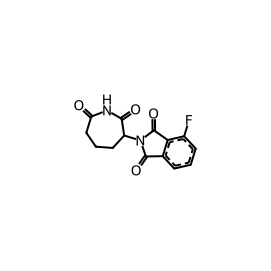 O=C1CCCC(N2C(=O)c3cccc(F)c3C2=O)C(=O)N1